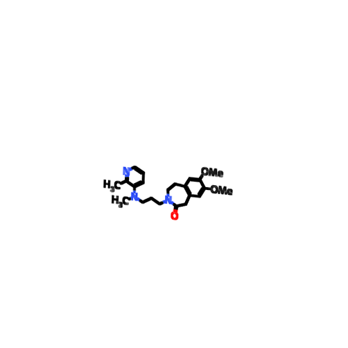 COc1cc2c(cc1OC)CC(=O)N(CCCN(C)c1cccnc1C)CC2